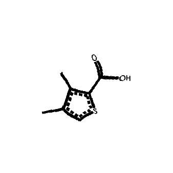 Cc1csc(C(=O)O)c1C